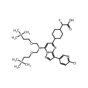 C[Si](C)(C)CCOCN(COCC[Si](C)(C)C)c1cc(C2CCC(C(F)C(=O)O)CC2)nc2c(-c3ccc(Cl)nc3)cnn12